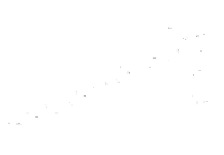 CCCCCCCCCCCCOCCCC(CCCCCCCC)C(CO)OCCOCCOCCOCCOCCOCCOCCO